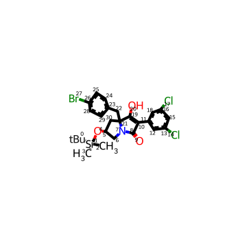 CC(C)(C)[Si](C)(C)OC1CN2C(=O)C(c3cc(Cl)cc(Cl)c3)=C(O)C2(Cc2ccc(Br)cc2)C1